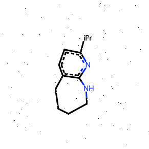 CC(C)c1ccc2c(n1)NCCCC2